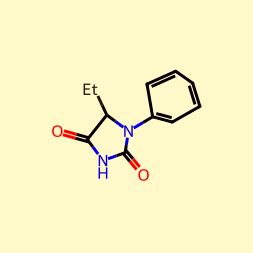 CCC1C(=O)NC(=O)N1c1ccccc1